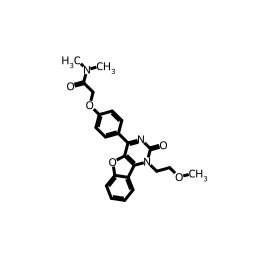 COCCn1c(=O)nc(-c2ccc(OCC(=O)N(C)C)cc2)c2oc3ccccc3c21